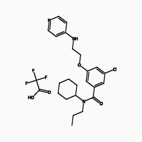 CCCN(C(=O)c1cc(Cl)cc(OCCNc2ccncc2)c1)C1CCCCC1.O=C(O)C(F)(F)F